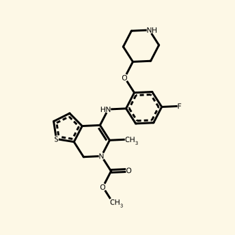 COC(=O)N1Cc2sccc2C(Nc2ccc(F)cc2OC2CCNCC2)=C1C